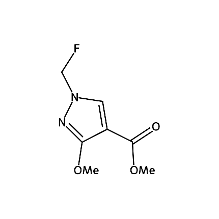 COC(=O)c1cn(CF)nc1OC